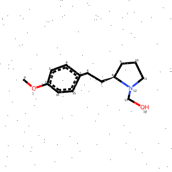 COc1ccc(CC[C@H]2CCCN2CO)cc1